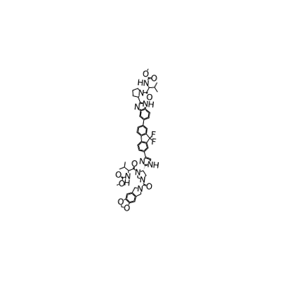 COC(=O)N[C@H](C(=O)N1CCCC1c1nc2cc(-c3ccc4c(c3)C(F)(F)c3cc(-c5c[nH]c([C@@H]6CN(C(=O)N7Cc8cc9c(cc8C7)OCO9)CN6C(=O)[C@@H](NC(=O)OC)C(C)C)n5)ccc3-4)ccc2[nH]1)C(C)C